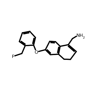 NCC1=CCCc2cc(Oc3ccccc3CF)ccc21